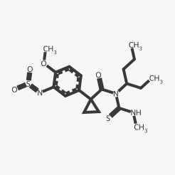 CCCC(CC)N(C(=O)C1(c2ccc(OC)c(N=S(=O)=O)c2)CC1)C(=S)NC